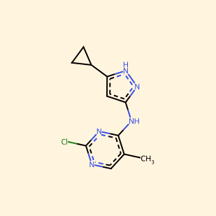 Cc1cnc(Cl)nc1Nc1cc(C2CC2)[nH]n1